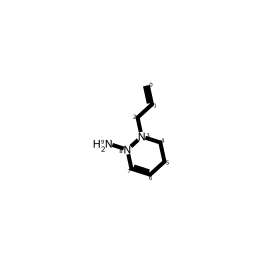 C=CCN1CCC=CN1N